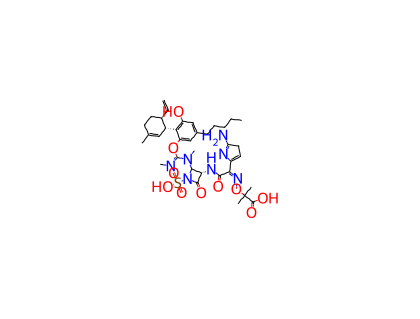 C=C[C@@H]1CCC(C)=C[C@H]1c1c(O)cc(CCCCC)cc1O/C(=N\C)N(C)C1[C@H](NC(=O)/C(=N\OC(C)(C)C(=O)O)C2=CCC(N)=N2)C(=O)N1S(=O)(=O)O